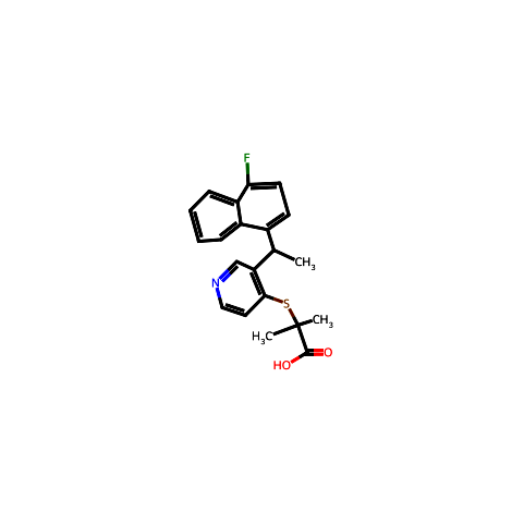 CC(c1cnccc1SC(C)(C)C(=O)O)c1ccc(F)c2ccccc12